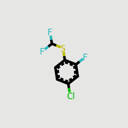 Fc1cc(Cl)ccc1SC(F)F